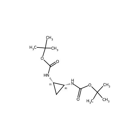 CC(C)(C)OC(=O)N[C@H]1C[C@H]1NC(=O)OC(C)(C)C